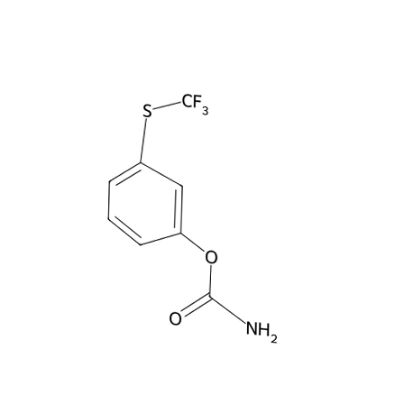 NC(=O)Oc1cccc(SC(F)(F)F)c1